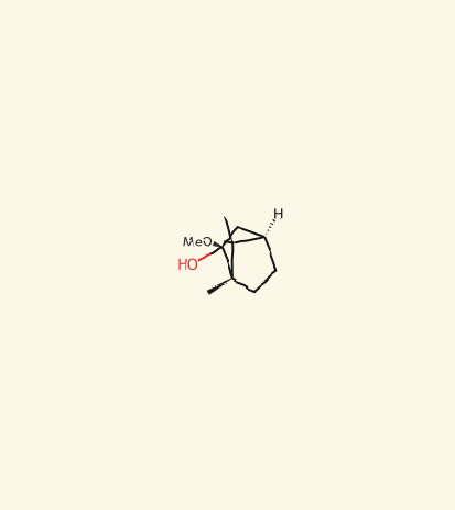 CO[C@@]1(O)C[C@H]2CC[C@@]1(C)C2(C)C